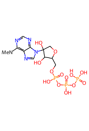 CNc1ncnc2c1ncn2C1(O)COC(COP(=O)(O)OP(=O)(O)OP(=O)(O)O)C1O